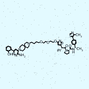 Cc1ncsc1-c1ccc([C@H](C)NC(=O)[C@@H]2CCCN2C(=O)[C@@H](c2cc(OCCOCCOCCCCN3CCC4(CC3)CCN(c3cc(-c5ccccc5O)nnc3N)CC4)no2)C(C)C)cc1